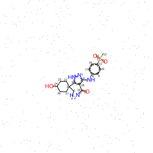 CCC1(c2[nH]nc(Nc3ccc(S(C)(=O)=O)cc3)c2C(N)=O)CCC(O)CC1